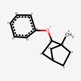 CC12CCC(CC1Oc1ccccc1)C2